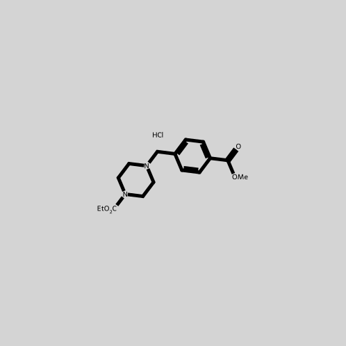 CCOC(=O)N1CCN(Cc2ccc(C(=O)OC)cc2)CC1.Cl